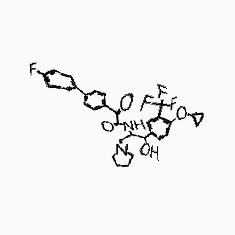 O=C(NC(CN1CCCC1)C(O)c1ccc(OC2CC2)c(C(F)(F)F)c1)C(=O)c1ccc(-c2ccc(F)cc2)cc1